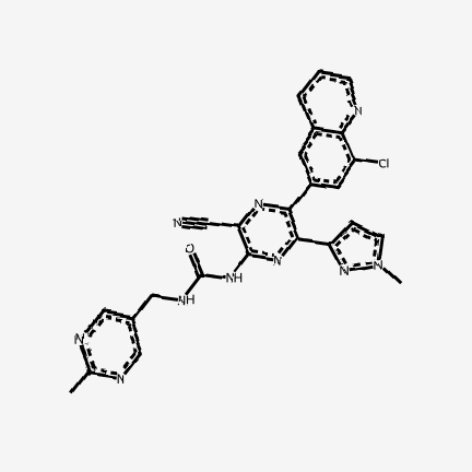 Cc1ncc(CNC(=O)Nc2nc(-c3ccn(C)n3)c(-c3cc(Cl)c4ncccc4c3)nc2C#N)cn1